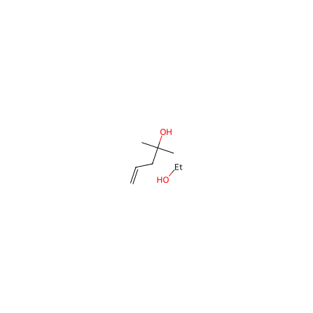 C=CCC(C)(C)O.CCO